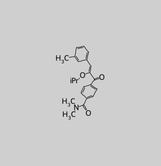 Cc1cccc(C=C(OC(C)C)C(=O)c2ccc(C(=O)N(C)C)cc2)c1